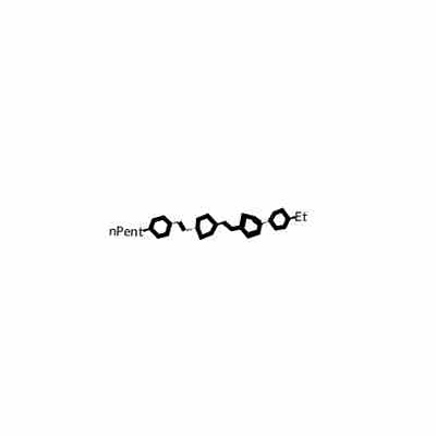 CCCCC[C@H]1CC[C@H](CC[C@H]2CC[C@H](CCc3ccc([C@H]4CC[C@H](CC)CC4)cc3)CC2)CC1